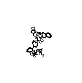 CS(=O)(=O)[As](CC1CC1)c1ccccc1C1CCN(C(=O)[C@@H](Cc2ccc(Cl)cc2)NC(=O)[C@@H]2Cc3ccccc3CN2)CC1